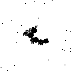 CC(=O)Nc1cc(-c2ccc(F)cc2F)cc(-n2cnc3cc(-c4cn(C5CCCC5)nn4)ccc32)c1